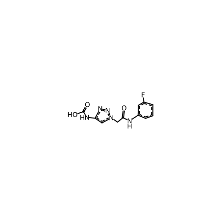 O=C(O)Nc1cn(CC(=O)Nc2cccc(F)c2)nn1